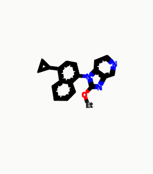 CCOc1nc2cnccc2n1-c1ccc(C2CC2)c2ccccc12